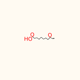 C=CC(=O)CCCCCCCC(=O)O